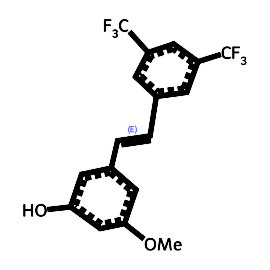 COc1cc(O)cc(/C=C/c2cc(C(F)(F)F)cc(C(F)(F)F)c2)c1